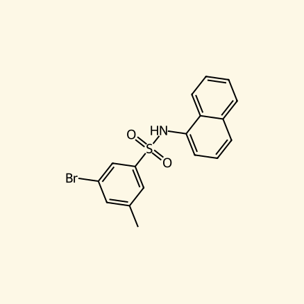 Cc1cc(Br)cc(S(=O)(=O)Nc2cccc3ccccc23)c1